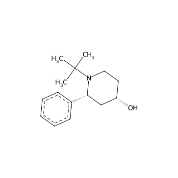 CC(C)(C)N1CC[C@H](O)C[C@@H]1c1ccccc1